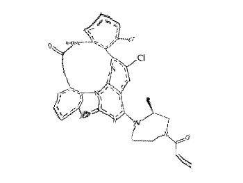 C=CC(=O)N1CCN(c2nc(=O)n3c4nc(c(Cl)cc24)-c2c(Cl)cccc2NC(=O)Cc2cccc(C(C)C)c2-3)[C@@H](C)C1